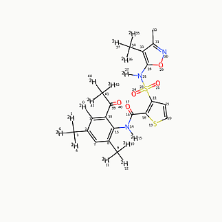 [2H]c1c(C([2H])([2H])[2H])cc(C([2H])([2H])[2H])c(N([2H])C(=O)c2sccc2S(=O)(=O)N([2H])c2onc(C)c2C([2H])([2H])[2H])c1C(=O)C([2H])([2H])[2H]